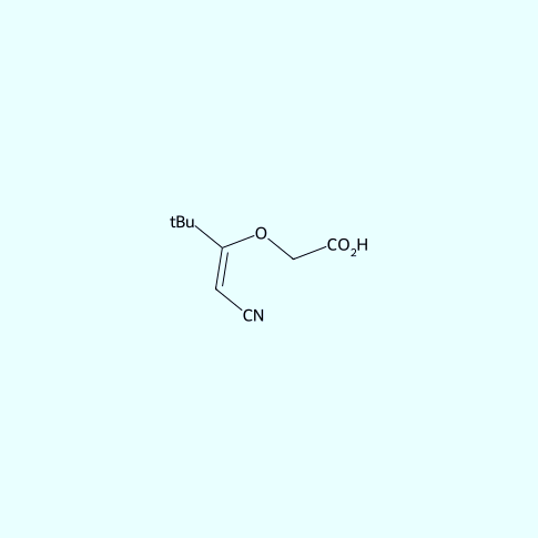 CC(C)(C)C(=CC#N)OCC(=O)O